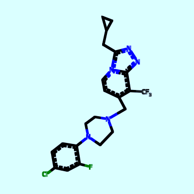 Fc1cc(Cl)ccc1N1CCN(Cc2ccn3c(CC4CC4)nnc3c2C(F)(F)F)CC1